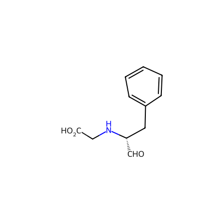 O=C[C@@H](Cc1ccccc1)NCC(=O)O